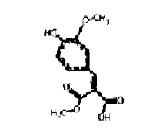 COC(=O)C(=Cc1ccc(O)c(OC)c1)C(=O)O